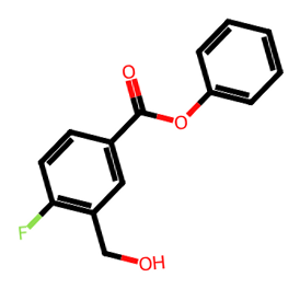 O=C(Oc1ccccc1)c1ccc(F)c(CO)c1